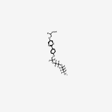 CCCCCCC(F)COc1cnc(-c2ccc(OCC(F)(F)OC(F)(F)C(F)(F)OC(F)(F)C(F)(F)C(F)(F)C(F)(F)F)cc2)nc1